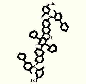 Cc1ccc(-c2ccccc2)cc1N(c1ccc2cc3c(cc2c1)oc1c(-c2ccccc2)c2c(oc4cc5cc(N(c6cc(-c7ccccc7)ccc6C)c6cc(C(C)(C)C)ccc6C)ccc5cc42)c(-c2ccccc2)c13)c1cc(C(C)(C)C)ccc1C